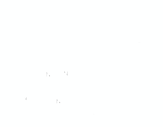 C=CCCn1nc(Br)nc1C(O)c1ccc(F)cc1